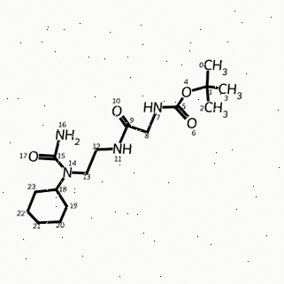 CC(C)(C)OC(=O)NCC(=O)NCCN(C(N)=O)C1CCCCC1